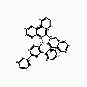 c1ccc(-c2ccc(-n3c4cc5ccccc5cc4c4c5ccccc5c5ccccc5c43)c(-c3ccccc3)c2)cc1